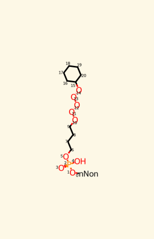 CCCCCCCCCOP(=O)(O)OCCCCOOOOOC1CCCCC1